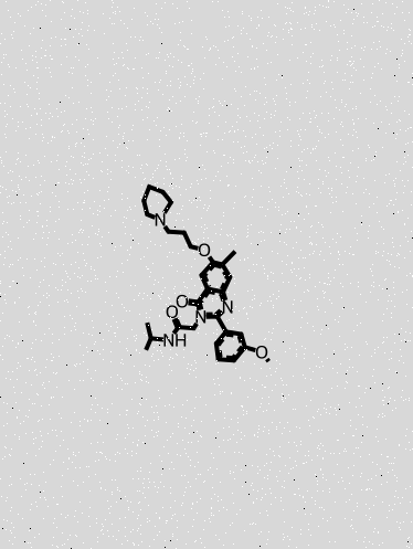 COc1cccc(-c2nc3cc(C)c(OCCCN4CCCCC4)cc3c(=O)n2CC(=O)NC(C)C)c1